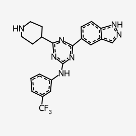 FC(F)(F)c1cccc(Nc2nc(-c3ccc4[nH]ncc4c3)nc(C3CCNCC3)n2)c1